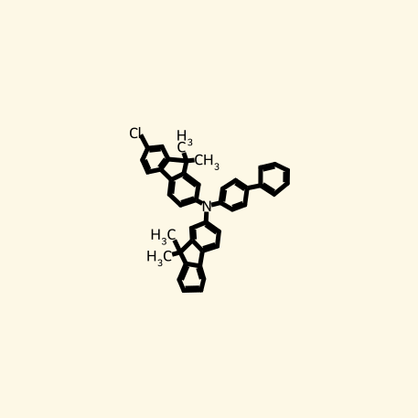 CC1(C)c2ccccc2-c2ccc(N(c3ccc(-c4ccccc4)cc3)c3ccc4c(c3)C(C)(C)c3cc(Cl)ccc3-4)cc21